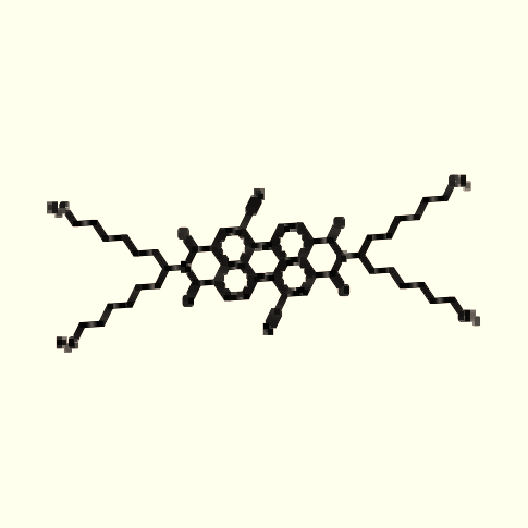 CCCCCCCC(CCCCCCC)N1C(=O)c2ccc3c4c(C#N)cc5c6c(ccc(c7c(C#N)cc(c2c37)C1=O)c64)C(=O)N(C(CCCCCCC)CCCCCCC)C5=O